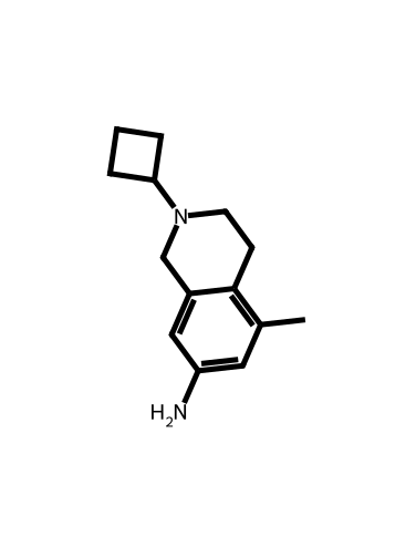 Cc1cc(N)cc2c1CCN(C1CCC1)C2